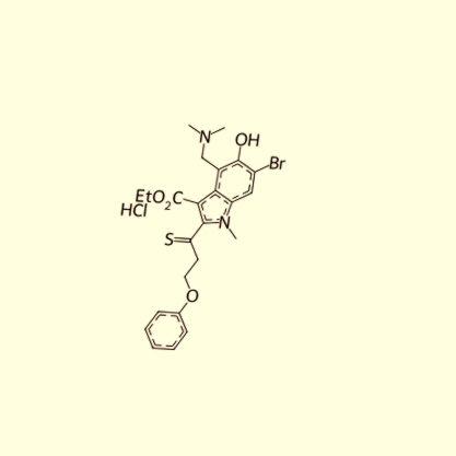 CCOC(=O)c1c(C(=S)CCOc2ccccc2)n(C)c2cc(Br)c(O)c(CN(C)C)c12.Cl